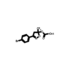 CCCCCCCCC(=O)OC1(C(F)(F)F)CC(c2ccc(Br)cc2)=NO1